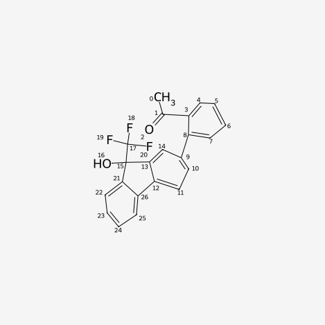 CC(=O)c1ccccc1-c1ccc2c(c1)C(O)(C(F)(F)F)c1ccccc1-2